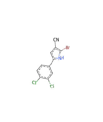 N#Cc1cc(-c2ccc(Cl)c(Cl)c2)[nH]c1Br